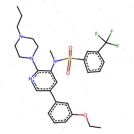 CCCN1CCN(c2ncc(-c3cccc(OCC)c3)cc2N(C)S(=O)(=O)c2cccc(C(F)(F)F)c2)CC1